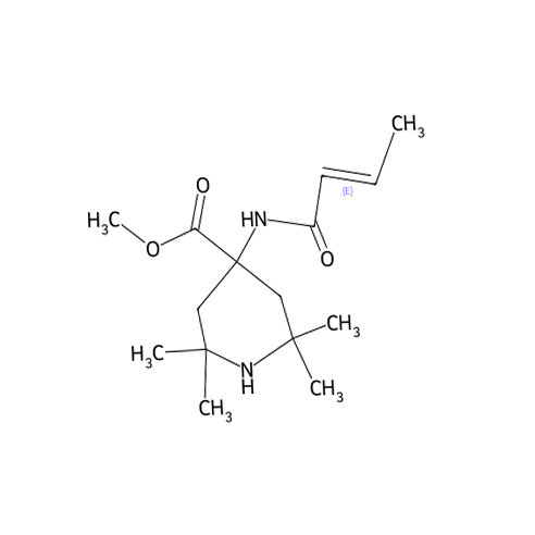 C/C=C/C(=O)NC1(C(=O)OC)CC(C)(C)NC(C)(C)C1